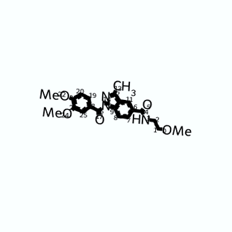 COCCNC(=O)c1ccc2c(c1)c(C)nn2C(=O)c1ccc(OC)c(OC)c1